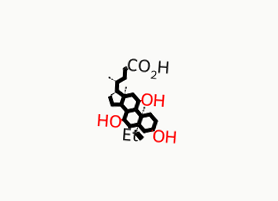 C=C[C@@]12C[C@H](O)CC[C@]1(C)C1C(C3CC[C@H]([C@H](C)CCC(=O)O)[C@@]3(C)C[C@@H]1O)[C@H](O)[C@@H]2CC